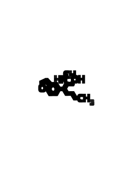 CCCCC(c1ccc2occc2c1)C(CO)NC